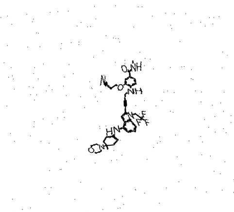 CNC(=O)c1ccc(NCC#Cc2cc3c(NC4CCC(C)(N5CCOCC5)CC4)cccc3n2CC(F)(F)F)c(OCCC#N)c1